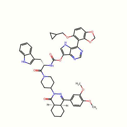 COc1ccc(C2=NN(C3CCN(C(=O)[C@H](Cc4c[nH]c5ccccc45)NC(=O)Oc4c[nH]c5c(-c6c(OCC7CC7)ccc7c6OCO7)ncnc45)CC3)C(=O)[C@@H]3CCCC[C@H]23)cc1OC